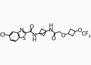 O=C(COC1CC(OC(F)(F)F)C1)NC12CC(NC(=O)c3nc4cc(Cl)ccc4s3)(C1)C2